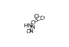 Clc1ccccc1CSc1ccc2[nH]c(-c3ccccn3)nc2c1